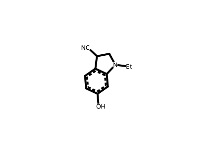 CCN1CC(C#N)c2ccc(O)cc21